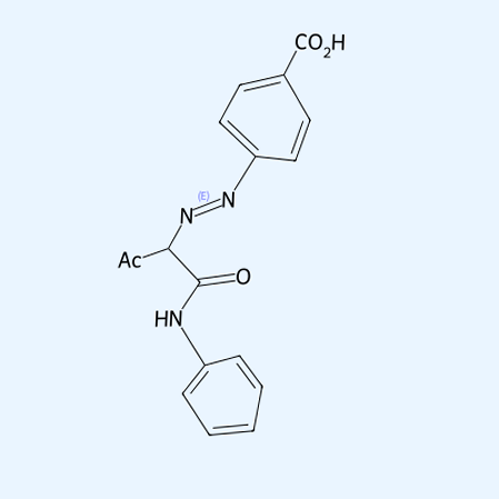 CC(=O)C(/N=N/c1ccc(C(=O)O)cc1)C(=O)Nc1ccccc1